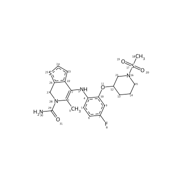 CC1=C(Nc2ccc(F)cc2OC2CCCN(S(C)(=O)=O)C2)c2ccsc2CN1C(N)=O